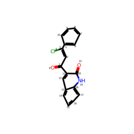 O=C(C=C(Cl)c1ccccc1)c1cc2ccccc2[nH]c1=O